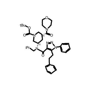 CC(C)CN(C(=O)c1nnn(-c2ccccc2)c1CCc1ccccc1)[C@H]1C[C@@H](C(=O)N2CCOCC2)CN(C(=O)OC(C)(C)C)C1